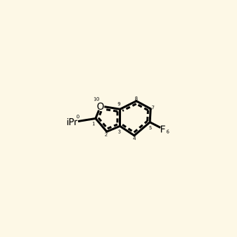 CC(C)c1cc2cc(F)ccc2o1